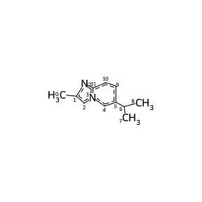 Cc1cn2cc(C(C)C)ccc2n1